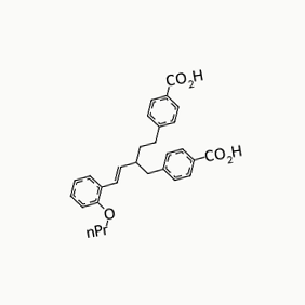 CCCOc1ccccc1C=CC(CCc1ccc(C(=O)O)cc1)Cc1ccc(C(=O)O)cc1